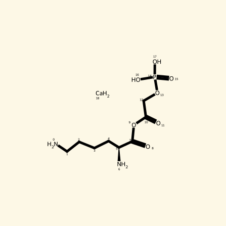 NCCCC[C@H](N)C(=O)OC(=O)COP(=O)(O)O.[CaH2]